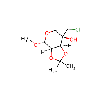 CO[C@@H]1OC[C@](O)(CCl)[C@H]2OC(C)(C)O[C@@H]12